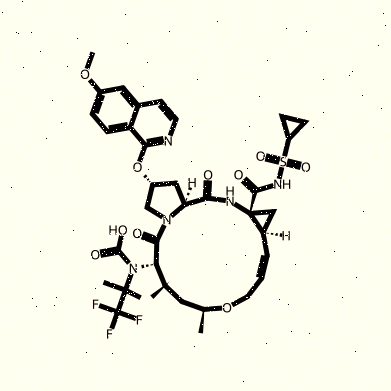 COc1ccc2c(O[C@@H]3C[C@H]4C(=O)N[C@]5(C(=O)NS(=O)(=O)C6CC6)C[C@H]5/C=C\CO[C@@H](C)C[C@@H](C)[C@H](N(C(=O)O)C(C)(C)C(F)(F)F)C(=O)N4C3)nccc2c1